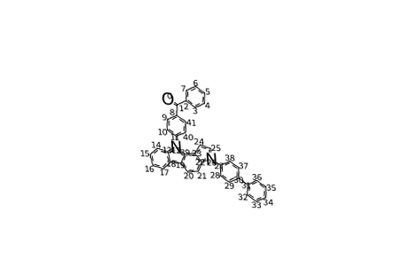 O=C(c1ccccc1)c1ccc(-n2c3ccccc3c3ccc4c(ccn4-c4ccc(-c5ccccc5)cc4)c32)cc1